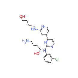 NCCCC(O)N(c1cccc(Cl)c1)c1nccc(-c2ccnc(NCCCCO)c2)n1